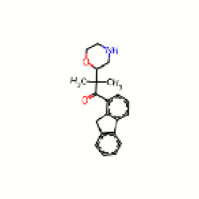 CC(C)(C(=O)c1cccc2c1Cc1ccccc1-2)C1CNCCO1